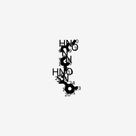 CC(=O)NC1CCN(c2ccc(C(=O)Nc3nc(-c4cccc(C)c4)cs3)cn2)C1